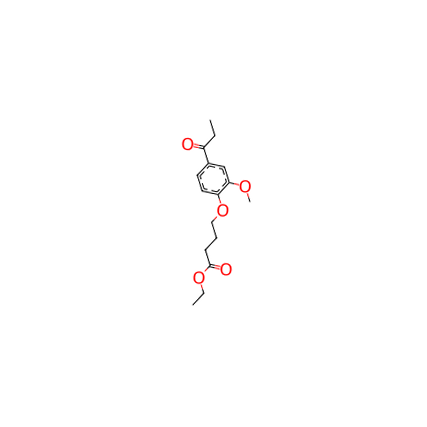 CCOC(=O)CCCOc1ccc(C(=O)CC)cc1OC